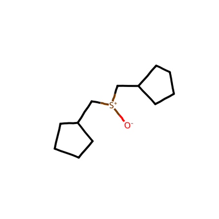 [O-][S+](CC1CCCC1)CC1CCCC1